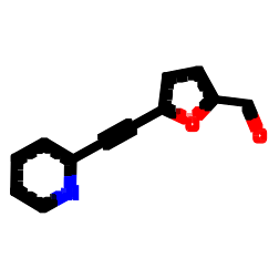 O=Cc1ccc(C#Cc2ccccn2)o1